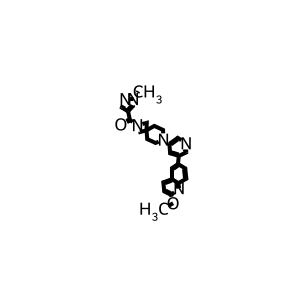 COc1ccc2cc(-c3cncc(N4CCC5(CC4)CN(C(=O)c4cnn(C)c4)C5)c3)ccc2n1